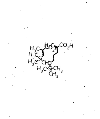 C=C(CCCO[Si](C)(C)C)C(=O)O.CC(=C[Si](C)(C)C)C(=O)O